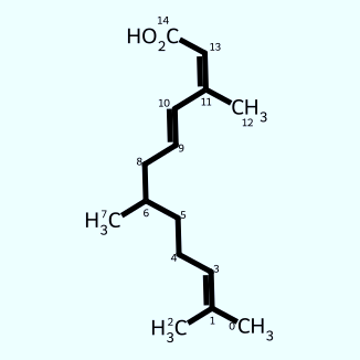 CC(C)=CCCC(C)CC=CC(C)=CC(=O)O